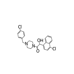 O=C(C(O)c1ccc(Cl)c2ccccc12)N1CCN(Cc2ccc(Cl)cc2)CC1